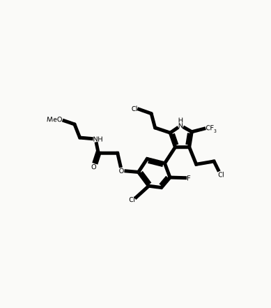 COCCNC(=O)COc1cc(-c2c(CCCl)[nH]c(C(F)(F)F)c2CCCl)c(F)cc1Cl